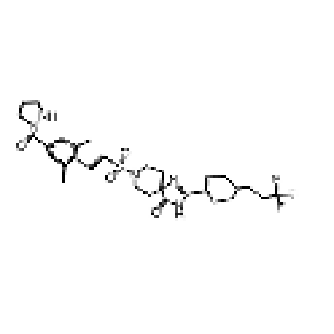 Cc1cc(C(=O)N2CCCN2)cc(C)c1C=CS(=O)(=O)N1CCC2(CC1)N=C(C1CCC(CCC(F)(F)F)CC1)NC2=O